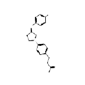 CC(=O)CCc1ccc(N2CCC(Sc3ccc(O)cc3)C2)cc1